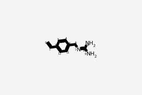 C=Cc1ccc(CN=C(N)N)cc1